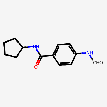 O=CNc1ccc(C(=O)NC2CCCC2)cc1